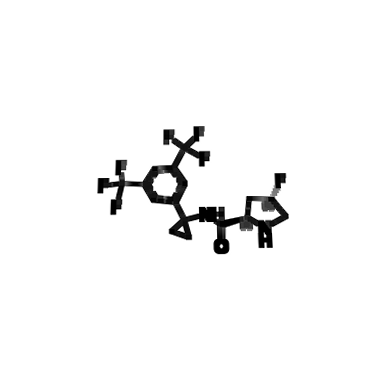 O=C(NC1(c2cc(C(F)(F)F)cc(C(F)(F)F)c2)CC1)[C@H]1C[C@H](F)CN1